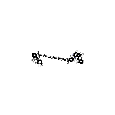 C=N/C=C(CC)\C(=N/c1ccc(C(=O)NCCOCCNCCOCCOCCOCC(=O)Nc2cccc(C=O)c2CN(C)C2CCC(=O)NC2=O)cc1)c1ccc(Cl)cc1C(=C)c1c(F)cccc1F